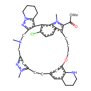 COC(=O)c1c2c3ccc(Cl)c(c3n1C)-c1c(nn3c1CCCC3)CN(C)Cc1cc(n(C)n1)CCc1cc3c(c(c1)OCCC2)NCCC3